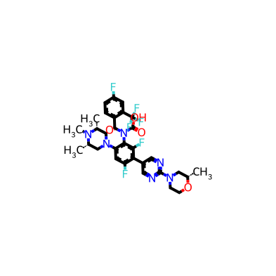 C[C@@H]1CN(c2cc(F)c(-c3cnc(N4CCO[C@@H](C)C4)nc3)c(F)c2N(C(=O)O)C(=O)c2ccc(F)cc2C(F)(F)F)C[C@H](C)N1C